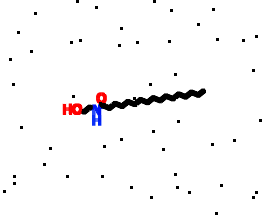 CCCCCCCCCCCCCCCCC(=O)NCCO